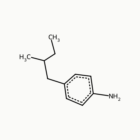 CCC(C)Cc1ccc(N)cc1